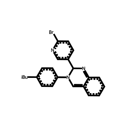 CCC(C)c1ccc(N2C=c3ccccc3=NC2c2ccc(Br)nc2)cc1